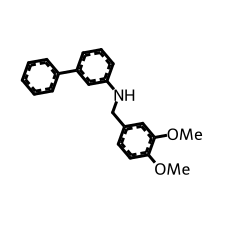 COc1ccc(CNc2cccc(-c3ccccc3)c2)cc1OC